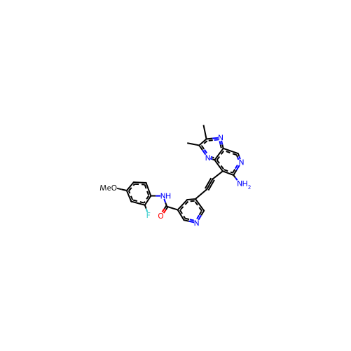 COc1ccc(NC(=O)c2cncc(C#Cc3c(N)ncc4nc(C)c(C)nc34)c2)c(F)c1